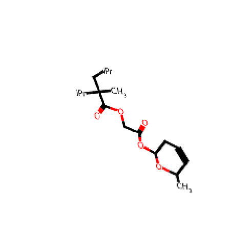 CC(C)CC(C)(C(=O)OCC(=O)OC1CC#CC(C)O1)C(C)C